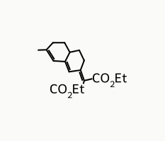 CCOC(=O)C(C(=O)OCC)=C1C=C2C=C(C)CCC2CC1